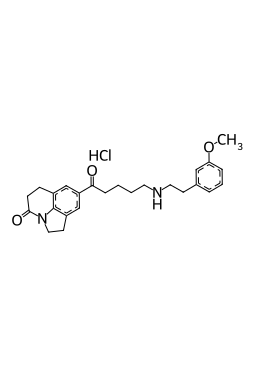 COc1cccc(CCNCCCCC(=O)c2cc3c4c(c2)CCN4C(=O)CC3)c1.Cl